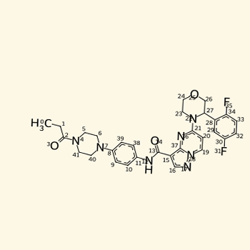 CCC(=O)N1CCN(c2ccc(NC(=O)c3cnn4ccc(N5CCOCC5c5cc(F)ccc5F)nc34)cc2)CC1